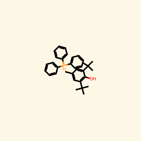 CC(C)(C)c1cc(C[PH](c2ccccc2)(c2ccccc2)c2ccccc2)cc(C(C)(C)C)c1O